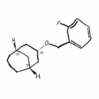 Fc1ccccc1CO[C@@H]1C[C@@H]2CC[C@@H](C2)C1